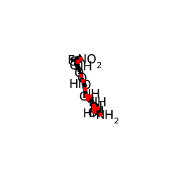 Nc1nc2ncc(CNc3ccc(C(=O)NCCCC(=O)NCCOCCOCCNC(=O)c4cc([N+](=O)[O-])ccc4SF)cc3)nc2c(=O)[nH]1